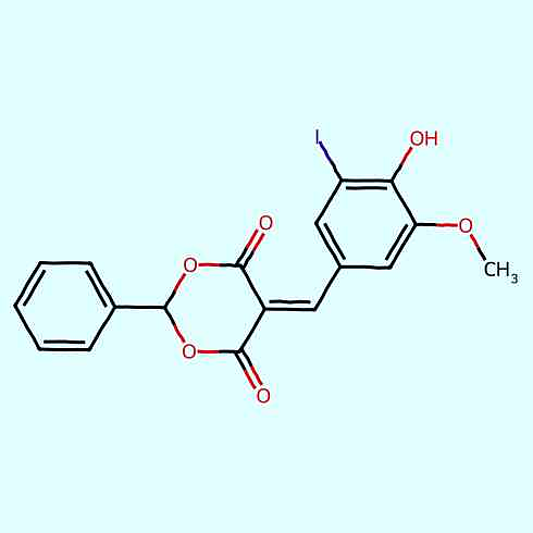 COc1cc(C=C2C(=O)OC(c3ccccc3)OC2=O)cc(I)c1O